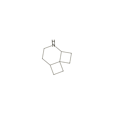 C1CC2CCC23CCC3N1